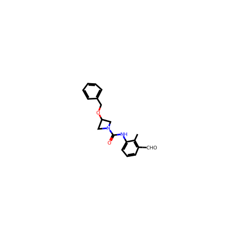 Cc1c(C=O)cccc1NC(=O)N1CC(OCc2ccccc2)C1